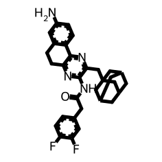 Nc1ccc2c(c1)CCc1nc(NC(=O)Cc3ccc(F)c(F)c3)c(CC34CC5CC(CC(C5)C3)C4)nc1-2